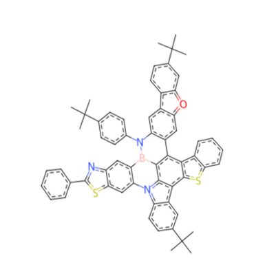 CC(C)(C)c1ccc(N2B3c4cc5nc(-c6ccccc6)sc5cc4-n4c5ccc(C(C)(C)C)cc5c5c6sc7ccccc7c6c(c3c54)-c3cc4oc5cc(C(C)(C)C)ccc5c4cc32)cc1